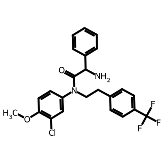 COc1ccc(N(CCc2ccc(C(F)(F)F)cc2)C(=O)C(N)c2ccccc2)cc1Cl